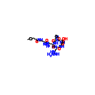 Cc1ccc(CCCC(=O)NCCCC[C@H](N)C(=O)NCCCC[C@@H]2NC(=O)[C@@H](Cc3ccccc3)NC(=O)[C@H](CC(=O)O)NC(=O)CNC(=O)[C@H](CCCNC(=N)N)NC2=O)cc1